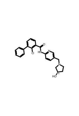 O=C(Nc1ccc(CN2CC[C@@H](O)C2)cn1)c1cccc(-c2ccccc2)c1Cl